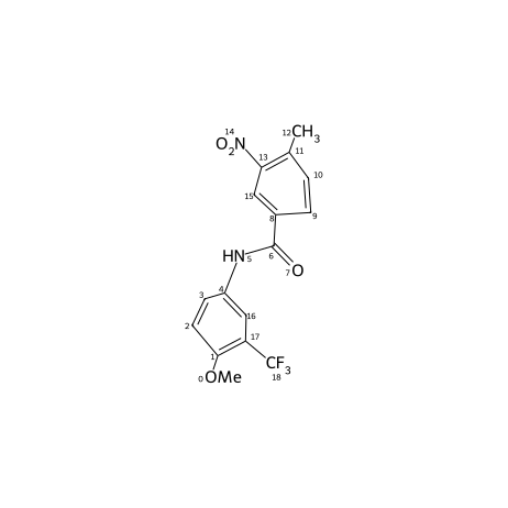 COc1ccc(NC(=O)c2ccc(C)c([N+](=O)[O-])c2)cc1C(F)(F)F